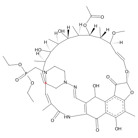 CCOP(=O)(CN1CCN(/N=C/C2=C3NC(=O)/C(C)=C\C=C\[C@@H](C)[C@@H](O)[C@@H](C)[C@H](O)[C@@H](C)[C@H](OC(C)=O)[C@H](C)[C@@H](OC)/C=C/O[C@@]4(C)Oc5c(C)c(O)c(c(c5C4=O)C2O)C3=O)CC1)OCC